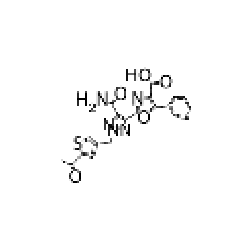 CC(=O)c1cc(Cn2nc(C(N)=O)c(-c3nc(C(=O)O)c(-c4ccccc4)o3)n2)cs1